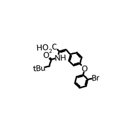 CC(C)(C)CC(=O)N/C(=C\c1ccc(Oc2ccccc2Br)cc1)C(=O)O